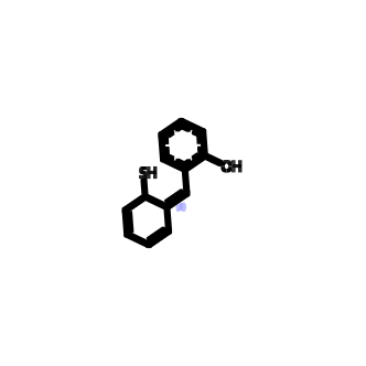 Oc1ccccc1/C=C1/C=CC=CC1S